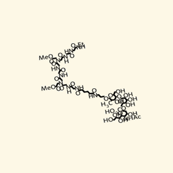 CCNC(=O)CNC(=O)CNC(=O)CN(CC(=O)OC)C(=O)CNC(=O)CNC(=O)CN(CC(=O)OC)C(=O)CNC(=O)CNC(=O)CCCCC(=O)NCCCO[C@@H]1OC(CO)[C@@H](O[C@@H]2OC(CO[C@]3(C(=O)O)C[C@@H](O)[C@@H](NC(C)=O)C(C(O)C(O)CO)O3)[C@H](O)C(O)[C@@H]2O)C(O)[C@@H]1C